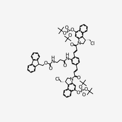 CC(C)(C)OP(=O)(Oc1cc2c(c3ccccc13)[C@H](CCl)CN2C(=O)C=Cc1ccc(C=CC(=O)N2C[C@@H](CCl)c3c2cc(OP(=O)(OC(C)(C)C)OC(C)(C)C)c2ccccc32)c(NC(=O)CCNC(=O)OCC2c3ccccc3-c3ccccc32)c1)OC(C)(C)C